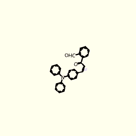 O=Cc1ccccc1C(=O)/C=C\c1ccc(N(c2ccccc2)c2ccccc2)cc1